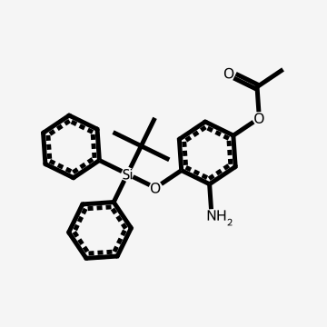 CC(=O)Oc1ccc(O[Si](c2ccccc2)(c2ccccc2)C(C)(C)C)c(N)c1